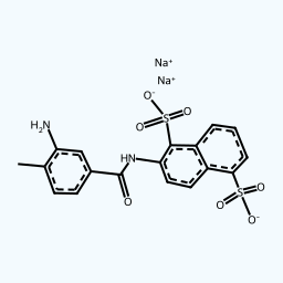 Cc1ccc(C(=O)Nc2ccc3c(S(=O)(=O)[O-])cccc3c2S(=O)(=O)[O-])cc1N.[Na+].[Na+]